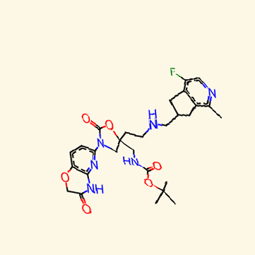 Cc1ncc(F)c2c1CC(CNCCC1(CNC(=O)OC(C)(C)C)CN(c3ccc4c(n3)NC(=O)CO4)C(=O)O1)C2